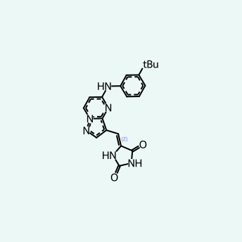 CC(C)(C)c1cccc(Nc2ccn3ncc(/C=C4\NC(=O)NC4=O)c3n2)c1